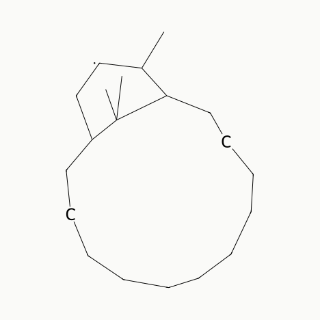 CC1[CH]CC2CCCCCCCCCCCC1C2(C)C